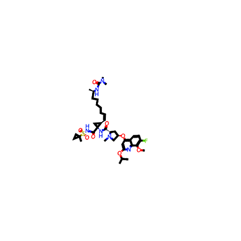 COc1c(F)ccc2c(O[C@@H]3C[C@@H](C(=O)N[C@]4(C(=O)NS(=O)(=O)C5(C)CC5)C[C@H]4/C=C\CCCCC[C@@H](C)NC(=O)N(C)C)N(C)C3)cc(OC(C)C)nc12